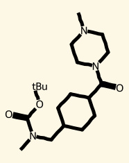 CN1CCN(C(=O)C2CCC(CN(C)C(=O)OC(C)(C)C)CC2)CC1